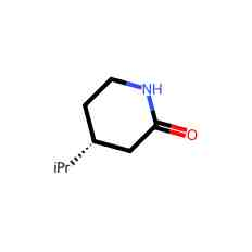 CC(C)[C@@H]1CCNC(=O)C1